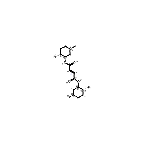 CC(C)[C@@H]1CC[C@@H](C)C[C@H]1OC(=O)/C=C/C(=O)O[C@@H]1C[C@H](C)CC[C@H]1C(C)C